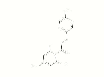 COc1ccc(CCC(=O)c2c(O)cc(OC)cc2OC)cc1